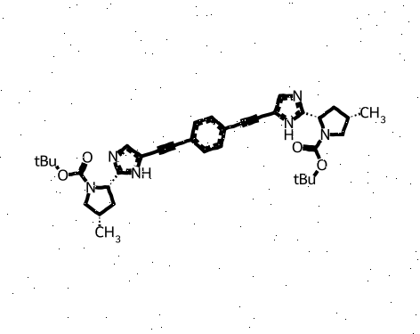 C[C@H]1C[C@@H](c2ncc(C#Cc3ccc(C#Cc4cnc([C@@H]5C[C@H](C)CN5C(=O)OC(C)(C)C)[nH]4)cc3)[nH]2)N(C(=O)OC(C)(C)C)C1